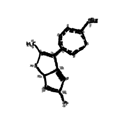 CC1=C(c2ccc(C(C)(C)C)cc2)C2=CC(C(C)C)=[C]C2S1